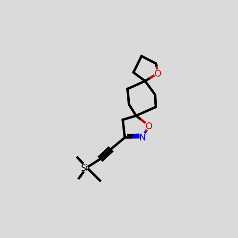 C[Si](C)(C)C#CC1=NOC2(CCC3(CCCO3)CC2)C1